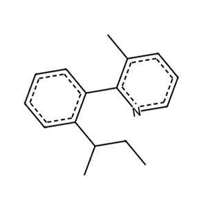 CCC(C)c1ccccc1-c1ncccc1C